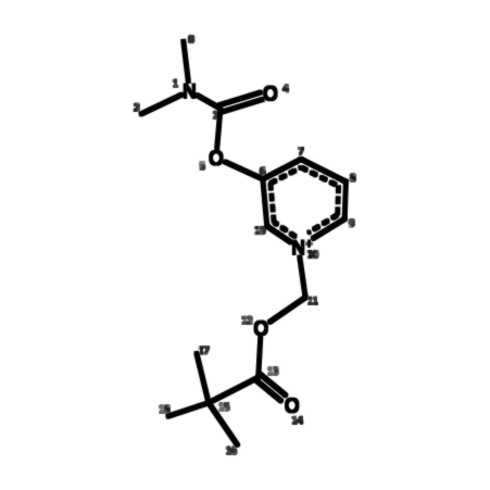 CN(C)C(=O)Oc1ccc[n+](COC(=O)C(C)(C)C)c1